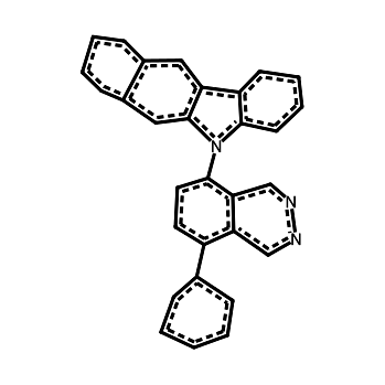 c1ccc(-c2ccc(-n3c4ccccc4c4cc5ccccc5cc43)c3cnncc23)cc1